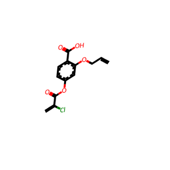 C=CCOc1cc(OC(=O)C(=C)Cl)ccc1C(=O)O